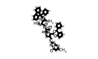 Cc1cc(=O)n2nc(SCC3=C(C(=O)OC(c4ccccc4)c4ccccc4)N4C(=O)[C@@H](NC(=O)C(=NO)c5nc(C(c6ccccc6)(c6ccccc6)c6ccccc6)sc5N)[C@H]4SC3)sc2n1